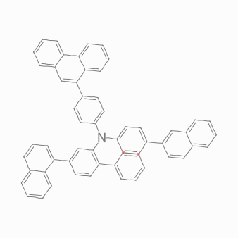 c1ccc(-c2ccc(-c3cccc4ccccc34)cc2N(c2ccc(-c3ccc4ccccc4c3)cc2)c2ccc(-c3cc4ccccc4c4ccccc34)cc2)cc1